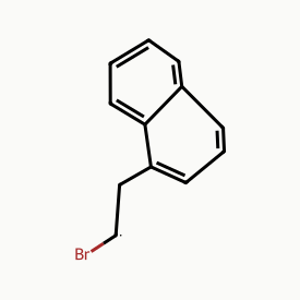 Br[CH]Cc1cccc2ccccc12